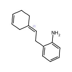 Nc1ccccc1C/C=C1\CC=CCC1